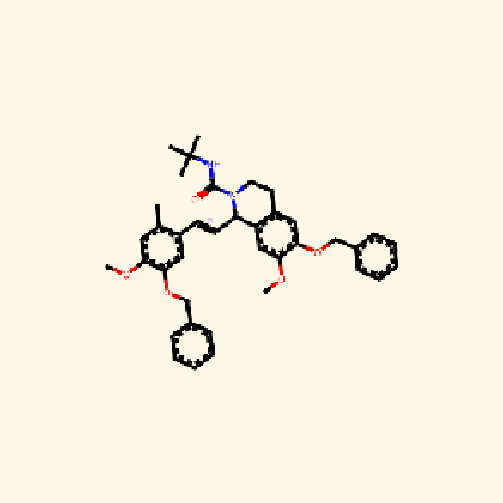 COc1cc(C)c(/C=C/C2c3cc(OC)c(OCc4ccccc4)cc3CCN2C(=O)NC(C)(C)C)cc1OCc1ccccc1